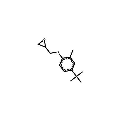 Cc1cc(C(C)(C)C)ccc1OCC1CO1